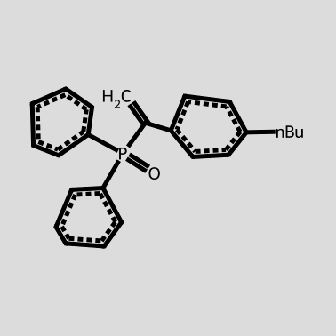 C=C(c1ccc(CCCC)cc1)P(=O)(c1ccccc1)c1ccccc1